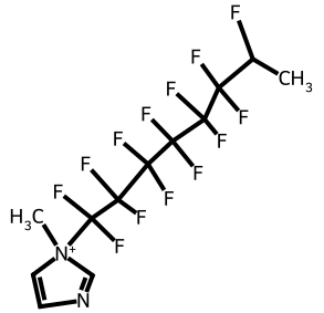 CC(F)C(F)(F)C(F)(F)C(F)(F)C(F)(F)C(F)(F)C(F)(F)[N+]1(C)C=CN=C1